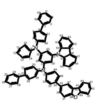 c1ccc(-c2ccc(N(c3ccccc3)c3cc(N(c4ccc(-c5ccccc5)cc4)c4ccc(-c5ccc6oc7ccccc7c6c5)cc4)cc(-n4c5ccccc5c5ccccc54)c3)cc2)cc1